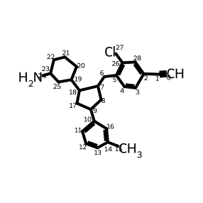 C#Cc1ccc(CC2CC(c3cccc(C)c3)CC2C2CCCC(N)C2)c(Cl)c1